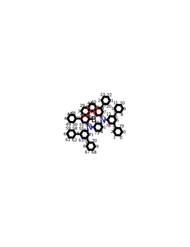 c1ccc(-c2cc(-c3ccccc3)cc(N3c4cc(-c5ccccc5)cc(-c5ccccc5)c4B4c5c(-c6ccccc6)cc(-c6ccccc6)cc5N(c5cc(-c6ccccc6)cc(-c6ccccc6)c5)c5cccc3c54)c2)cc1